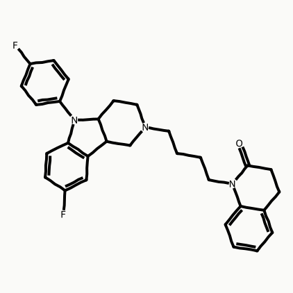 O=C1CCc2ccccc2N1CCCCN1CCC2C(C1)c1cc(F)ccc1N2c1ccc(F)cc1